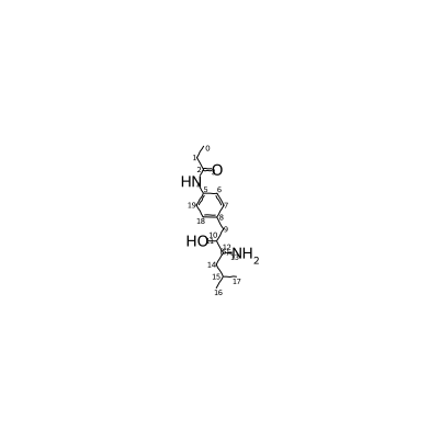 CCC(=O)Nc1ccc(CC(O)[C@@H](N)CC(C)C)cc1